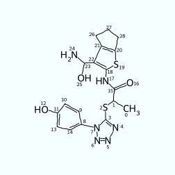 CC(Sc1nnnn1-c1ccc(O)cc1)C(=O)Nc1sc2c(c1C(N)O)CCC2